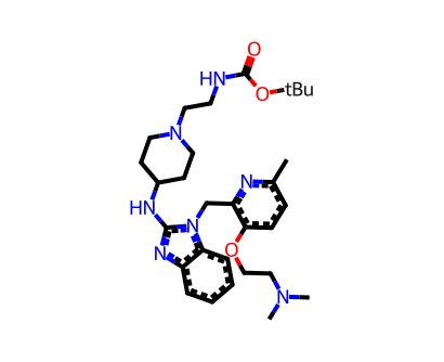 Cc1ccc(OCCN(C)C)c(Cn2c(NC3CCN(CCNC(=O)OC(C)(C)C)CC3)nc3ccccc32)n1